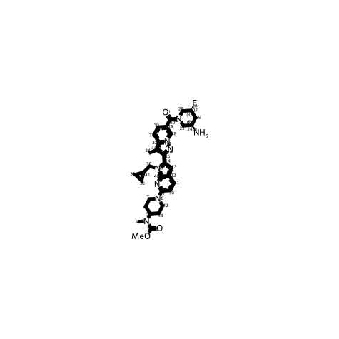 COC(=O)N(C)C1CCN(c2ccc3cc(-c4nn5cc(C(=O)N6C[C@H](N)C[C@@H](F)C6)ccc5c4C)n(CC4CC4)c3n2)CC1